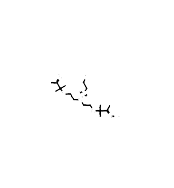 C/C(=N\O)C(C)(C)NCCN(CCNC(C)(C)/C(C)=N/O)S(=O)(=O)CCN